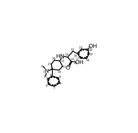 CN(C)C1(c2ccccc2)CCC(NC(Cc2cccc(O)c2)C(=O)O)CC1